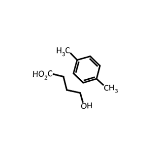 Cc1ccc(C)cc1.O=C(O)CCCO